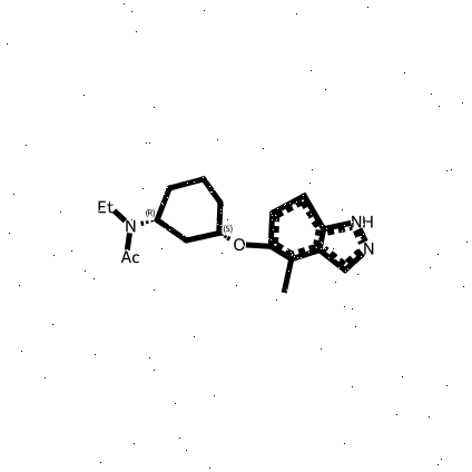 CCN(C(C)=O)[C@@H]1CCC[C@H](Oc2ccc3[nH]ncc3c2C)C1